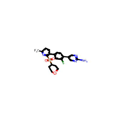 Nc1ncc(-c2ccc(-c3ccc(C(F)(F)F)nc3S(=O)(=O)C3CCOCC3)cc2F)cn1